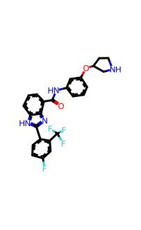 O=C(Nc1cccc(OC2CCNC2)c1)c1cccc2[nH]c(-c3ccc(F)cc3C(F)(F)F)nc12